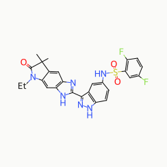 CCN1C(=O)C(C)(C)c2cc3nc(-c4n[nH]c5ccc(NS(=O)(=O)c6cc(F)ccc6F)cc45)[nH]c3cc21